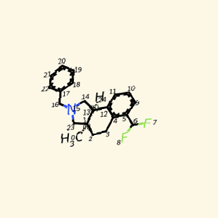 C[C@@]12CCc3c(C(F)F)cccc3[C@@H]1CN(Cc1ccccc1)C2